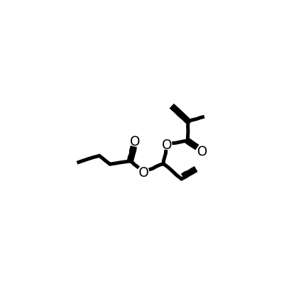 C=CC(OC(=O)CCC)OC(=O)C(=C)C